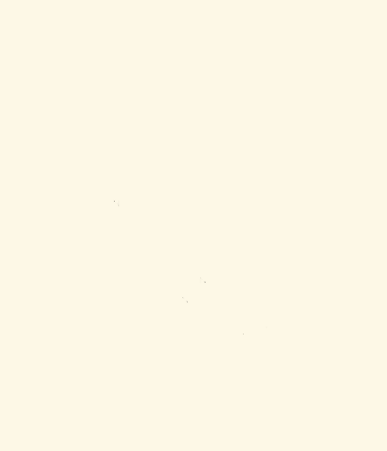 CCCCOc1ccc(-n2cc(C(=O)O)cn2)cc1C#N